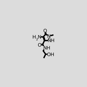 CC(O)CNC(=O)c1[nH]n(C)c(=O)c1N